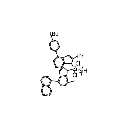 CC1=Cc2c(-c3cccc4ccccc34)ccc(C)c2[CH]1[Zr]([Cl])([Cl])([CH]1C(C(C)C)=Cc2c(-c3ccc(C(C)(C)C)cc3)cccc21)[SiH](C)C